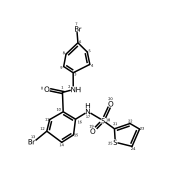 O=C(Nc1ccc(Br)cc1)c1cc(Br)ccc1NS(=O)(=O)c1cccs1